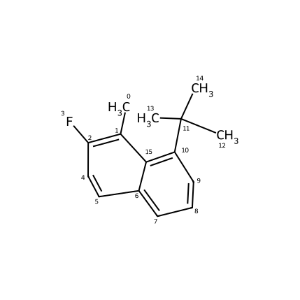 Cc1c(F)ccc2cccc(C(C)(C)C)c12